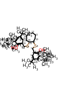 CC(C)(C)c1cc(CSC2CCCCCC[C@@H]2SCc2cc(C(C)(C)C)cc([Si]([Si](C)(C)C)([Si](C)(C)C)[Si](C)(C)C)c2O)c(O)c([Si]([Si](C)(C)C)([Si](C)(C)C)[Si](C)(C)C)c1